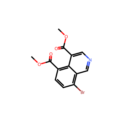 COC(=O)c1ccc(Br)c2cncc(C(=O)OC)c12